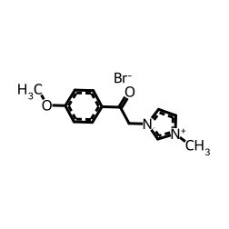 COc1ccc(C(=O)Cn2cc[n+](C)c2)cc1.[Br-]